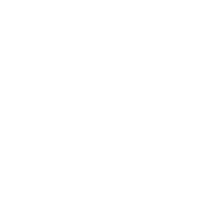 CCc1cccc(Cc2ccccc2)c1